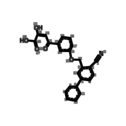 N#Cc1ccc(-c2ccccc2)cc1COc1cccc(C(=O)/C=C(/O)C(=O)O)c1